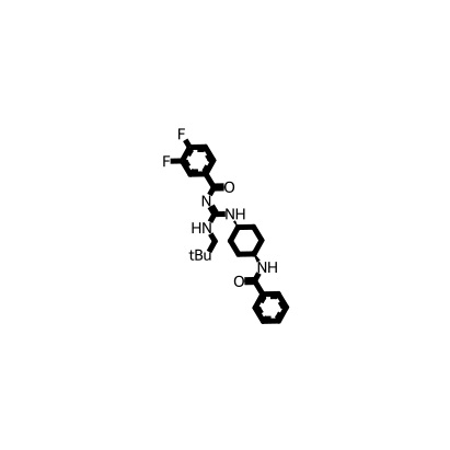 CC(C)(C)CN/C(=N/C(=O)c1ccc(F)c(F)c1)N[C@H]1CC[C@H](NC(=O)c2ccccc2)CC1